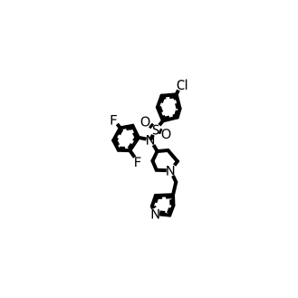 O=S(=O)(c1ccc(Cl)cc1)N(c1cc(F)ccc1F)C1CCN(Cc2ccncc2)CC1